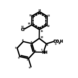 CC1=CCCC2=C1NC(C(=O)O)C2c1ccccc1Cl